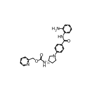 Nc1ccccc1NC(=O)c1ccc(N2CC[C@H](NC(=O)OCc3ccccn3)C2)cc1